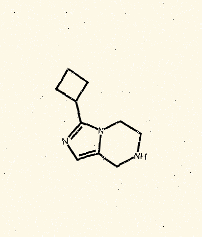 c1nc(C2CCC2)n2c1CNCC2